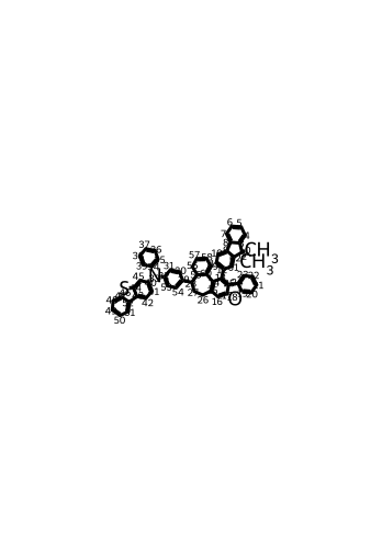 CC1(C)c2ccccc2-c2ccc(-c3c4c(cc5oc6ccccc6c35)CCC(c3ccc(N(c5ccccc5)c5ccc6c(c5)sc5ccccc56)cc3)C3CC=CC=C43)cc21